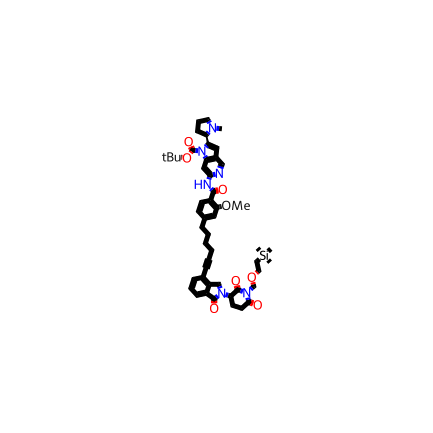 COc1cc(CCCCC#Cc2cccc3c2CN(C2CCC(=O)N(COCC[Si](C)(C)C)C2=O)C3=O)ccc1C(=O)Nc1cc2c(cn1)cc([C@H]1CCCN1C)n2C(=O)OC(C)(C)C